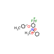 CCN(c1ccc(C(F)(F)F)cc1OCc1ccc(C)cc1)S(=O)(=O)c1ccccc1